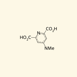 CNc1cc(C(=O)O)nc(C(=O)O)c1